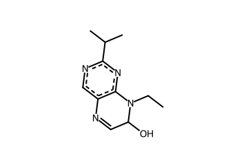 CCN1c2nc(C(C)C)ncc2N=CC1O